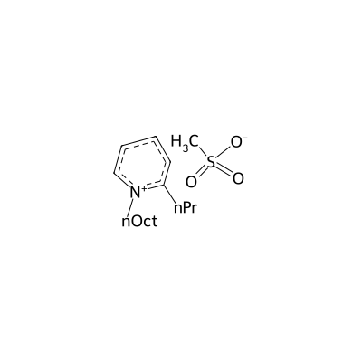 CCCCCCCC[n+]1ccccc1CCC.CS(=O)(=O)[O-]